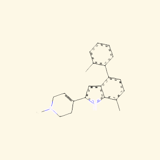 CC(=O)N1CC=C(c2cc3c(-c4ccccc4C)ccc(C)c3[nH]2)CC1